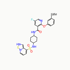 CSc1cccc(Oc2ncc(F)cc2C(=O)NC2CCC(NS(=O)(=O)C3=CC=CN4SNC=C34)CC2)c1